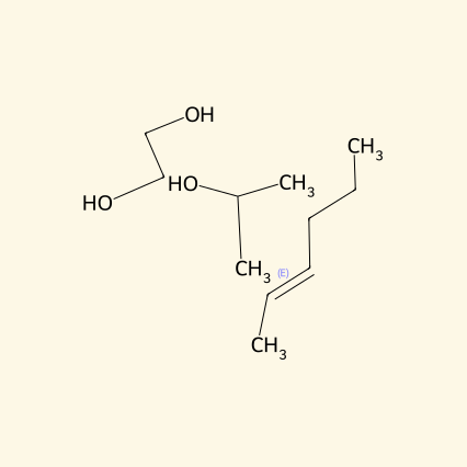 C/C=C/CCC.CC(C)O.OCCO